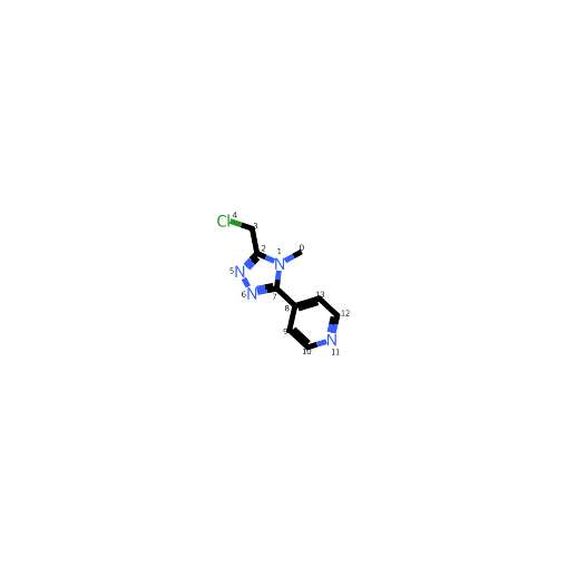 Cn1c(CCl)nnc1-c1ccncc1